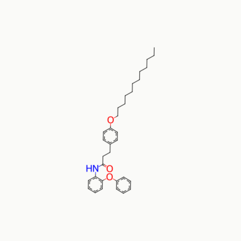 CCCCCCCCCCCCOc1ccc(CCC(=O)Nc2ccccc2Oc2ccccc2)cc1